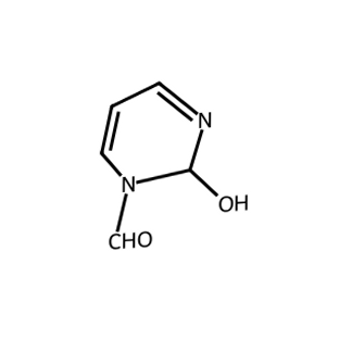 O=CN1C=CC=NC1O